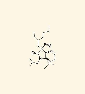 CCCCC(CC)CC(P=O)(C(=O)N(CC(C)C)CC(C)C)c1ccccc1